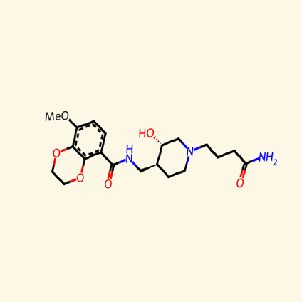 COc1ccc(C(=O)NC[C@@H]2CCN(CCCC(N)=O)C[C@H]2O)c2c1OCCO2